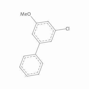 COc1cc(Cl)cc(-c2cc[c]cc2)c1